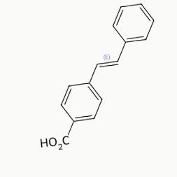 O=C(O)c1ccc(/C=C/c2ccccc2)cc1